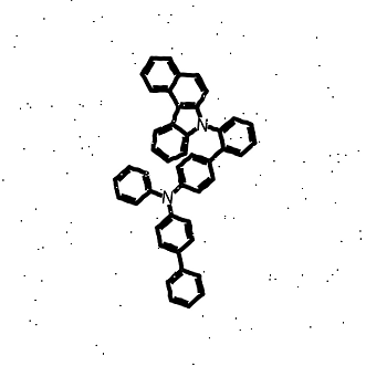 c1ccc(-c2ccc(N(c3ccccc3)c3ccc(-c4ccccc4-n4c5ccccc5c5c6ccccc6ccc54)cc3)cc2)cc1